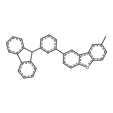 Cc1ccc2oc3ccc(-c4cccc(C5c6ccccc6-c6ccccc65)c4)cc3c2c1